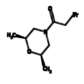 CC(C)CC(=O)N1C[C@@H](C)O[C@@H](C)C1